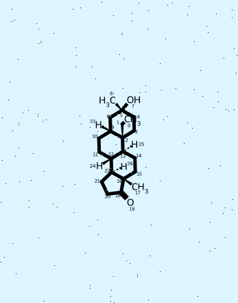 CC[C@]12CC[C@@](C)(O)C[C@H]1CC[C@@H]1[C@@H]2CC[C@]2(C)C(=O)CC[C@@H]12